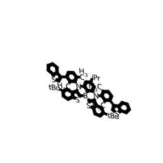 Cc1ccc(-c2csc3ccccc23)c(C)c1N1c2cc(C(C)C)cc3c2B(c2sc4ccc(C(C)(C)C)cc4c21)c1sc2ccc(C(C)(C)C)cc2c1N3c1c(C)ccc(-c2csc3ccccc23)c1C